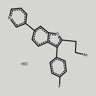 CC(=O)CCc1oc2cc(-c3cccnc3)ccc2c1-c1ccc(F)cc1.Cl